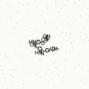 CCN1CCN(c2ccc(-c3n[nH]c4cc([C@@H]5C[C@@]56C(=O)Nc5ccc(OC)cc56)ccc34)cc2)CC1.O=C(O)C(F)(F)F